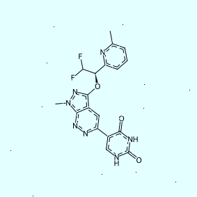 Cc1cccc([C@@H](Oc2nn(C)c3nnc(-c4c[nH]c(=O)[nH]c4=O)cc23)C(F)F)n1